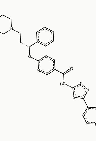 O=C(Nc1nnc(-c2ccncc2)s1)c1ccc(O[C@H](CCN2CCOCC2)c2ccccc2)nc1